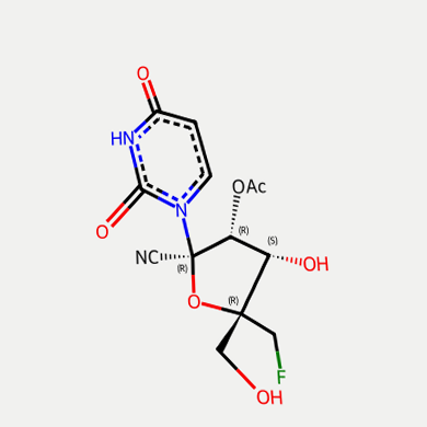 CC(=O)O[C@@H]1[C@H](O)[C@](CO)(CF)O[C@@]1(C#N)n1ccc(=O)[nH]c1=O